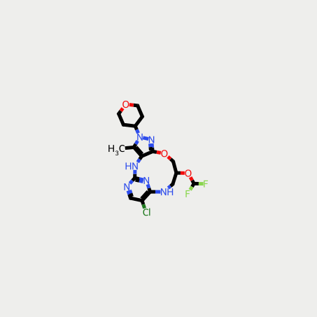 Cc1c2c(nn1C1CCOCC1)OCC(OC(F)F)CNc1nc(ncc1Cl)N2